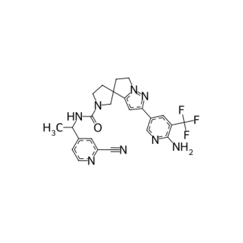 CC(NC(=O)N1CCC2(CCn3nc(-c4cnc(N)c(C(F)(F)F)c4)cc32)C1)c1ccnc(C#N)c1